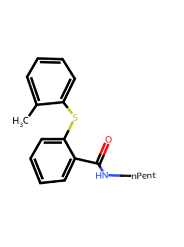 CCCCCNC(=O)c1ccccc1Sc1ccccc1C